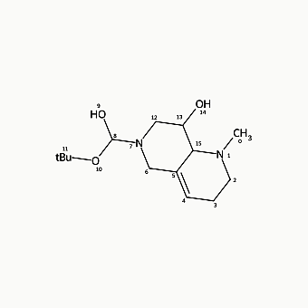 CN1CCC=C2CN(C(O)OC(C)(C)C)CC(O)C21